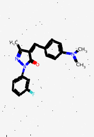 CC1=NN(c2cccc(F)c2)C(=O)C1=Cc1ccc(N(C)C)cc1